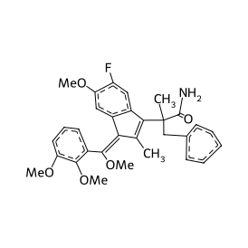 COC(=C1C(C)=C(C(C)(Cc2ccccc2)C(N)=O)c2cc(F)c(OC)cc21)c1cccc(OC)c1OC